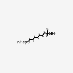 CCCCCCCCCCCCCCC(C)(C)[NH]